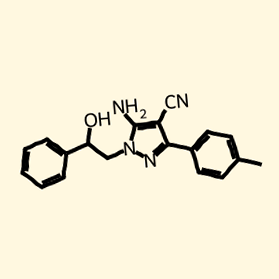 Cc1ccc(-c2nn(CC(O)c3ccccc3)c(N)c2C#N)cc1